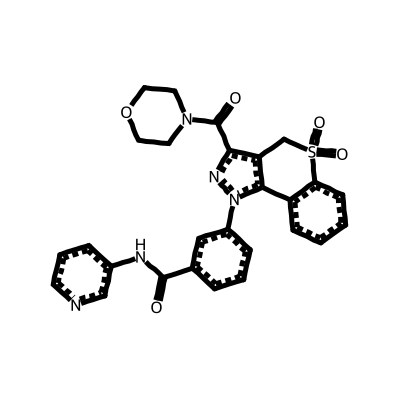 O=C(Nc1cccnc1)c1cccc(-n2nc(C(=O)N3CCOCC3)c3c2-c2ccccc2S(=O)(=O)C3)c1